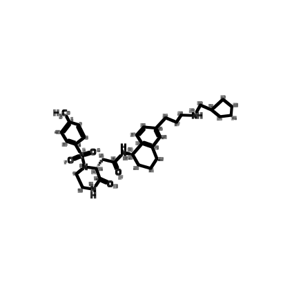 Cc1ccc(S(=O)(=O)N2CCNC(=O)[C@H]2CC(=O)N[C@@H]2CCCc3cc(CCCNCC4CCCC4)ccc32)cc1